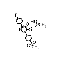 C[C@@H](O)CCOc1c(-c2ccc(S(C)(=O)=O)cc2)cnn(-c2ccc(F)cc2)c1=O